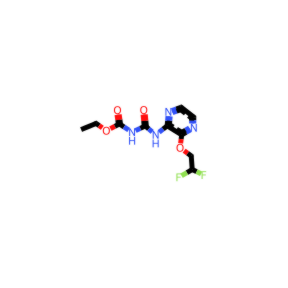 CCOC(=O)NC(=O)Nc1nccnc1OCC(F)F